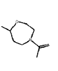 C=C(C)N1CCOC(C)CC1